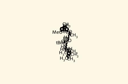 COc1ccc2c3c1OC1C(OC(=O)N(C)CCNC(=O)[C@H](CCCNC(=N)NS(=O)(=O)c4c(C)c(C)c5c(c4C)CC(C)(C)O5)NC(=O)OC(C)(C)C)=CCC4[C@@H](C2)N(C)CC[C@]314